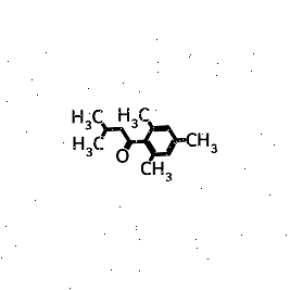 Cc1cc(C)c(C(=O)CC(C)C)c(C)c1